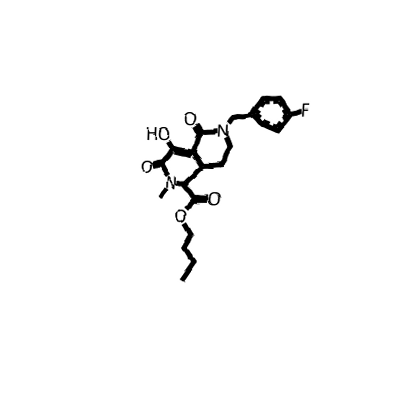 CCCCOC(=O)C1C2CCN(Cc3ccc(F)cc3)C(=O)C2=C(O)C(=O)N1C